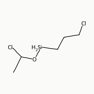 CC(Cl)O[SiH2]CCCCl